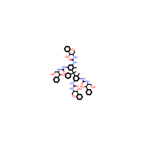 Cc1c(NC(=O)NC(CO)C(O)c2ccccc2)cc(NC(=O)NC(CO)C(O)c2ccccc2)cc1C(C)(c1ccccc1)c1cc(NC(=O)NC(CO)C(O)c2ccccc2)cc(NC(=O)NC(CO)C(O)c2ccccc2)c1C